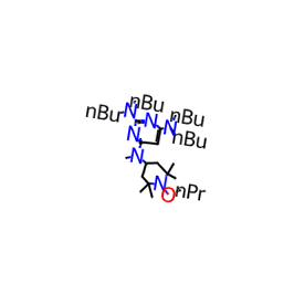 CCCCN(CCCC)c1cc(N(C)C2CC(C)(C)N(OCCC)C(C)(C)C2)nc(N(CCCC)CCCC)n1